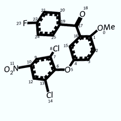 COc1ccc(Oc2c(Cl)cc([N+](=O)[O-])cc2Cl)cc1C(=O)c1ccc(F)cc1